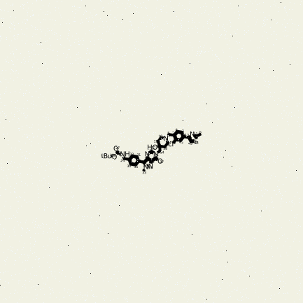 Cc1nc(-c2ccc(CN3CCC(O)(Cn4cnc5c(-c6ccc(CNC(=O)OC(C)(C)C)cc6)n(C)nc5c4=O)CC3)c(Cl)c2)cs1